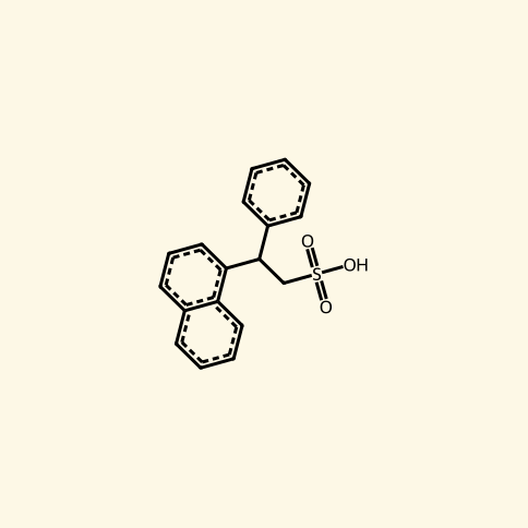 O=S(=O)(O)CC(c1ccccc1)c1cccc2ccccc12